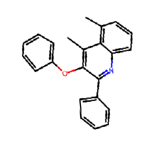 Cc1cccc2nc(-c3ccccc3)c(Oc3ccccc3)c(C)c12